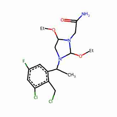 CCOC1CN(C(C)c2cc(F)cc(Cl)c2CCl)C(OCC)N1CC(N)=O